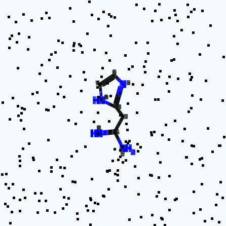 N=C(N)Cc1ncc[nH]1